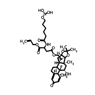 C=CCOC(=O)C(CC(=O)OCC(=O)[C@@]12OC(C)(C)O[C@@H]1C[C@H]1[C@@H]3CCC4=CC(=O)C=C[C@]4(C)[C@@]3(F)[C@@H](O)C[C@@]12C)NC(=O)CCCCCON(O)O